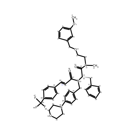 COc1cccc(COCCN(C)C(=O)[C@H](Cc2ccccc2)N(Cc2ccc(N3CCOCC3)cc2)C(=O)/C=C/c2ccc(C(F)(F)F)cc2)c1